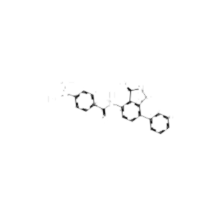 CN(C)c1ccc(C(=O)Nc2ccc(-c3ccccc3)c3c2C(=O)NC3)cc1